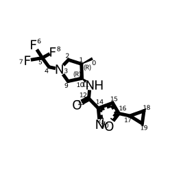 C[C@@H]1CN(CC(F)(F)F)C[C@@H]1NC(=O)c1cc(C2CC2)on1